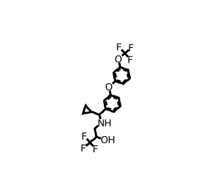 OC(CNC(c1cccc(Oc2cccc(OC(F)(F)F)c2)c1)C1CC1)C(F)(F)F